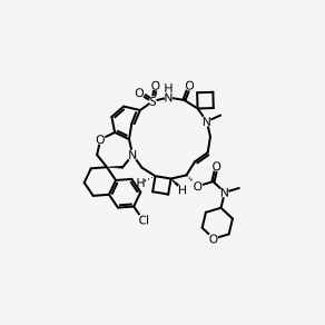 CN(C(=O)O[C@H]1/C=C/CN(C)C2(CCC2)C(=O)NS(=O)(=O)c2ccc3c(c2)N(C[C@@H]2CC[C@H]21)C[C@@]1(CCCc2cc(Cl)ccc21)CO3)C1CCOCC1